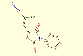 N#CC(Cl)=CC1=CC(=O)N(c2ccccc2)C1=O